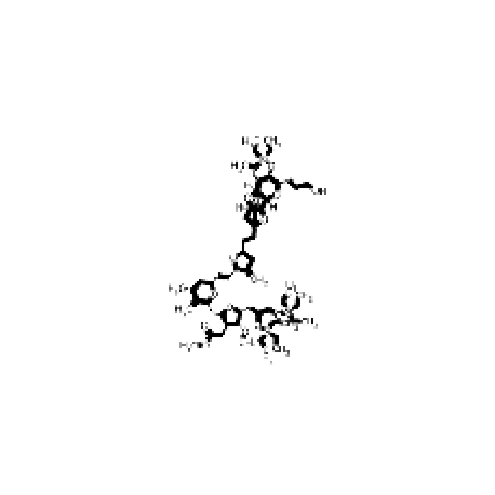 C=C1C[C@H](CCC23C[C@H]4O[C@H]5[C@@H](O2)[C@@H](O[Si](CC)(CC)CC)[C@H](CCCO)O[C@H]5[C@H]4O3)O[C@H]1CC[C@H]1C[C@@H](C)C(=C)[C@@H](C[C@@H]2O[C@H](CC(CO[Si](CC)(CC)CC)O[Si](CC)(CC)CC)[C@H](OC)[C@H]2CC(=O)OC)O1